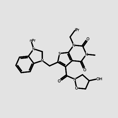 CCCN1CN(Cc2sc3c(c2C(=O)N2CC(O)CO2)c(=O)n(C)c(=O)n3CC(C)C)c2ccccc21